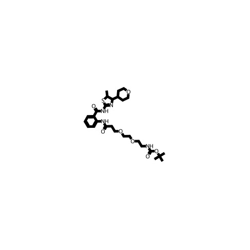 CC1SC(NC(=O)c2ccccc2NC(=O)CCOCCOCCNC(=O)OC(C)(C)C)=NC1C1CCOCC1